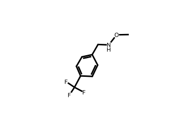 CONCc1ccc(C(F)(F)F)cc1